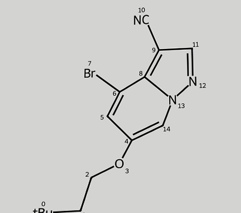 CC(C)(C)CCOc1cc(Br)c2c(C#N)cnn2c1